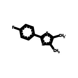 [CH2]c1sc(-c2ccc(F)cc2)nc1C